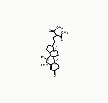 CC[C@H]1C2=CC(=O)CC[C@]2(C)C2CC[C@]3(C)C(CCC(C(=O)OC)C(=O)OC)CCC3C2[C@@H]1O